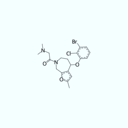 Cc1cc2c(o1)CN(C(=O)CN(C)C)CCC2Oc1cccc(Br)c1Cl